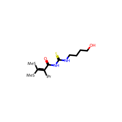 CSC(SC)=C(C(=O)NC(=S)NCCCCO)C(C)C